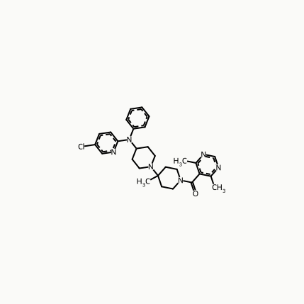 Cc1ncnc(C)c1C(=O)N1CCC(C)(N2CCC(N(c3ccccc3)c3ccc(Cl)cn3)CC2)CC1